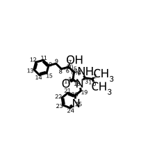 CC(C)C1N[C@@H]([C@H](O)[CH]Cc2ccccc2)C(=O)N1Cc1ccccn1